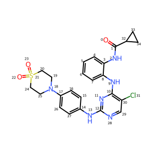 O=C(Nc1ccccc1Nc1nc(Nc2ccc(N3CCS(=O)(=O)CC3)cc2)ncc1Cl)C1CC1